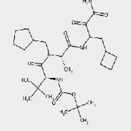 C[C@@H](C(=O)NC(CC1CCC1)C(=O)C(N)=O)N(CC1CCCC1)C(=O)[C@@H](NC(=O)OC(C)(C)C)C(C)(C)C